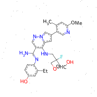 CCc1cc(O)ccc1N=C(N)c1cnn2cc(-c3cnc(OC)cc3C)cc2c1NCC1(F)COC1.O=CO